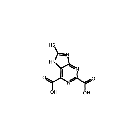 O=C(O)c1nc(C(=O)O)c2[nH]c(S)nc2n1